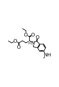 CCOC(=O)CC[C@@H](C(=O)OCC)N1Cc2cc(NC)ccc2C1=O